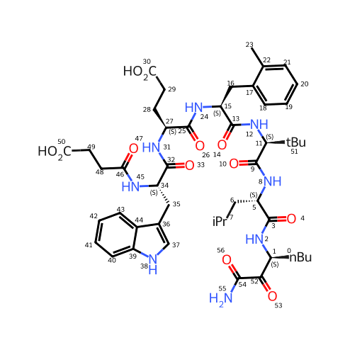 CCCC[C@H](NC(=O)[C@H](CC(C)C)NC(=O)[C@@H](NC(=O)[C@H](Cc1ccccc1C)NC(=O)[C@H](CCC(=O)O)NC(=O)[C@H](Cc1c[nH]c2ccccc12)NC(=O)CCC(=O)O)C(C)(C)C)C(=O)C(N)=O